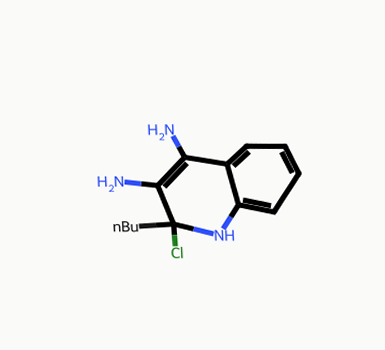 CCCCC1(Cl)Nc2ccccc2C(N)=C1N